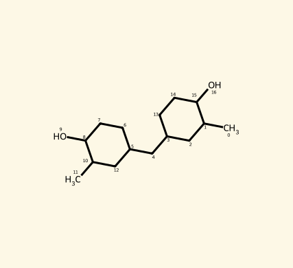 CC1CC(CC2CCC(O)C(C)C2)CCC1O